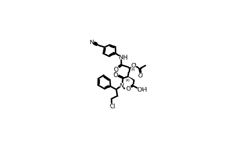 CC(=O)O[C@@H](C(=O)Nc1ccc(C#N)cc1)[C@@H](CC(=O)O)C(=O)N(C)C(CCCl)c1ccccc1